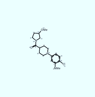 CNc1cc(N2CCC(C(=O)N3CCC(OC)C3)CC2)ccc1Cl